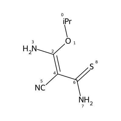 CC(C)OC(N)=C(C#N)C(N)=S